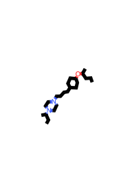 CCCC(C)OC1CCC(CCCCN2CCN(C(C)CC)CC2)CC1